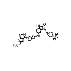 CS(=O)(=O)N1CCN(CCn2c(=O)[nH]c3ccc(NC4CC5(CCN(c6ncnc7sc(CC(F)(F)F)cc67)C5)C4)cc32)CC1